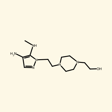 CNc1c(N)cnn1CCN1CCN(CCO)CC1